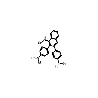 CCNc1c(-c2ccc(N(CC)CC)cc2)c(-c2ccc(N(CC)CC)cc2)[c]c2ccccc12